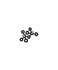 c1ccc(-c2cc(-c3cccc(-c4cc(-c5ccccc5)nc(-c5ccccc5)c4-c4ccccc4)c3)c(-c3ccccc3)c(-c3ccccc3)n2)cc1